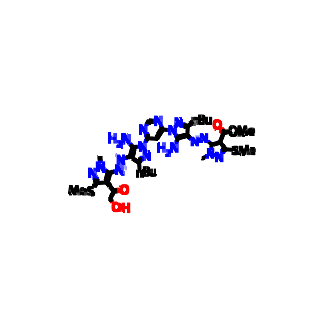 CCCCc1nn(-c2cc(-n3nc(CCCC)c(/N=N/c4c(C(=O)OC)c(SC)nn4C)c3N)ncn2)c(N)c1/N=N/c1c(C(=O)CO)c(SC)nn1C